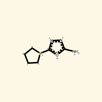 Nc1nnc(N2CCCC2)o1